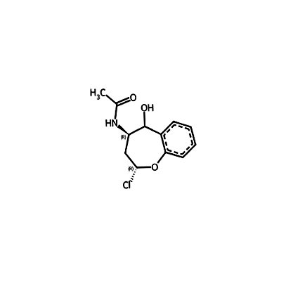 CC(=O)N[C@@H]1C[C@@H](Cl)Oc2ccccc2C1O